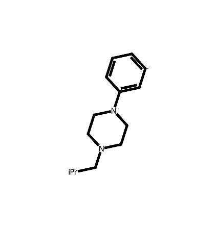 CC(C)CN1CCN(c2c[c]ccc2)CC1